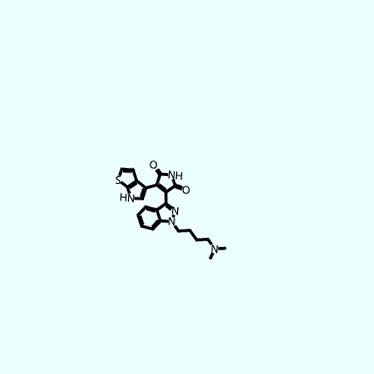 CN(C)CCCCn1nc(C2=C(c3c[nH]c4sccc34)C(=O)NC2=O)c2ccccc21